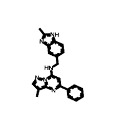 Cc1nc2cc(CNc3cc(-c4ccccc4)nc4c(C)cnn34)ccc2[nH]1